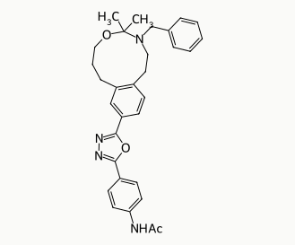 CC(=O)Nc1ccc(-c2nnc(-c3ccc4c(c3)CCCOC(C)(C)N(Cc3ccccc3)CC4)o2)cc1